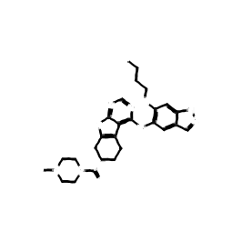 CN1CCN(C(=O)[C@H]2CCc3c(sc4ncnc(Nc5cc6cn[nH]c6cc5OCCCCl)c34)C2)CC1